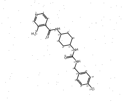 Cc1cnccc1C(=O)NC1CCC(NC(=O)NCc2ccc(Cl)cc2)CC1